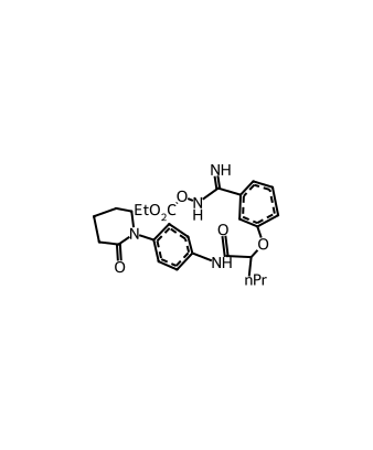 CCCC(Oc1cccc(C(=N)NOC(=O)OCC)c1)C(=O)Nc1ccc(N2CCCCC2=O)cc1